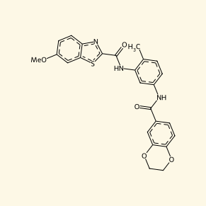 COc1ccc2nc(C(=O)Nc3cc(NC(=O)c4ccc5c(c4)OCCO5)ccc3C)sc2c1